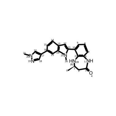 C[C@@H]1CC(=O)Nc2cccc(-c3cc4ccc(-c5cnn(C)c5)cc4n3C)c2N1